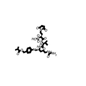 CC(C)C(=O)OCc1ccc(NC[C@H](CCCNC(N)=O)NC(=O)[C@@H](NC(=O)[C@H](CCN2C(=O)C=CC2=O)S(=O)(=O)O)C(C)C)cc1